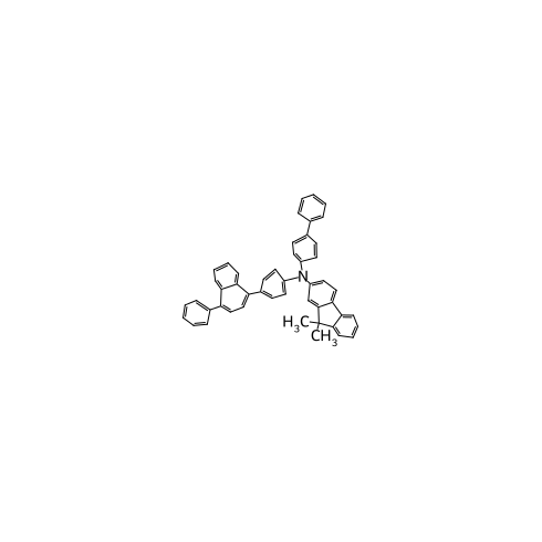 CC1(C)c2ccccc2-c2ccc(N(c3ccc(-c4ccccc4)cc3)c3ccc(-c4ccc(-c5ccccc5)c5ccccc45)cc3)cc21